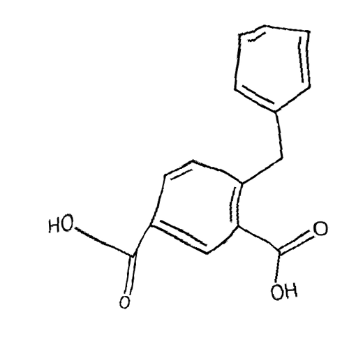 O=C(O)c1ccc(Cc2ccccc2)c(C(=O)O)c1